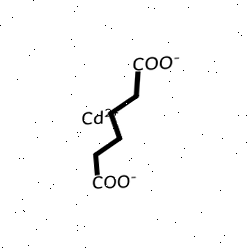 O=C([O-])CCCCC(=O)[O-].[Cd+2]